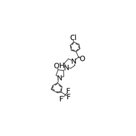 O=C(c1ccc(Cl)cc1)N1CCN([C@@H]2CN(c3cccc(C(F)(F)F)c3)C[C@H]2O)CC1